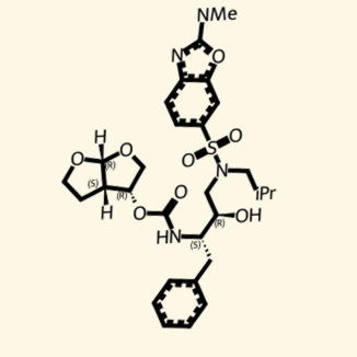 CNc1nc2ccc(S(=O)(=O)N(CC(C)C)C[C@@H](O)[C@H](Cc3ccccc3)NC(=O)O[C@H]3CO[C@H]4OCC[C@H]43)cc2o1